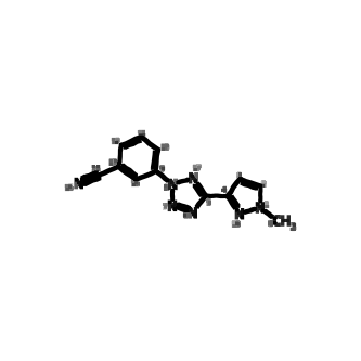 Cn1ccc(-c2nnn(-c3cccc(C#N)c3)n2)n1